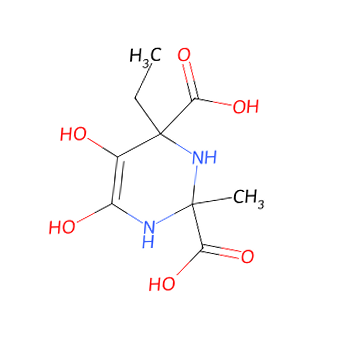 CCC1(C(=O)O)NC(C)(C(=O)O)NC(O)=C1O